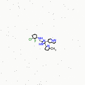 Cc1cccc(-c2[nH]c(CNc3cccc(Cl)c3F)nc2-c2ccn3nccc3c2)n1